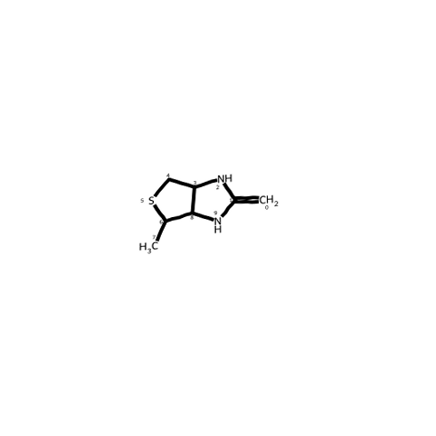 C=C1NC2CSC(C)C2N1